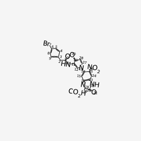 O=C(Cc1ccc(Br)cc1)Nc1cn(-c2cc3nc(C(=O)O)c(=O)[nH]c3cc2[N+](=O)[O-])ccc1=O